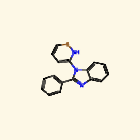 C1=CSNC(n2c(-c3ccccc3)nc3ccccc32)=C1